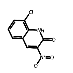 O=c1[nH]c2c(Cl)cccc2cc1[N+](=O)[O-]